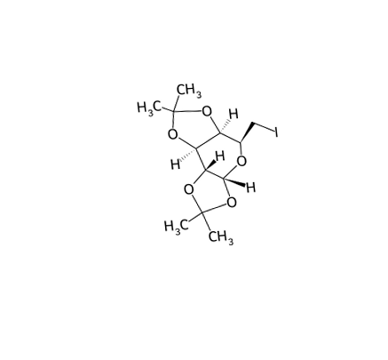 CC1(C)O[C@H]2[C@@H](O1)[C@@H](CI)O[C@@H]1OC(C)(C)O[C@@H]12